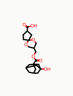 O=C(O)C1CCC2(C1)OCC(COC(=O)C13CC4CC(CC(O)(C4)C1)C3)CO2